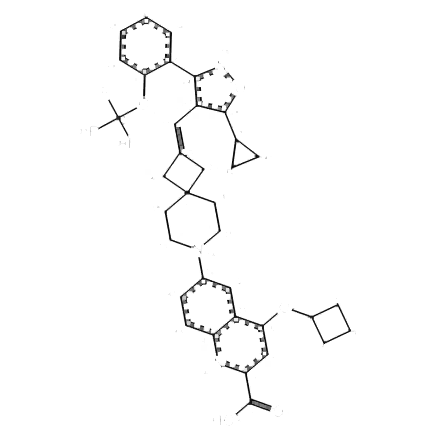 O=C(O)c1cc(OC2CCC2)c2cc(N3CCC4(CC3)CC(=Cc3c(-c5ccccc5OC(F)(F)F)noc3C3CC3)C4)ccc2n1